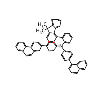 CC1(C)c2ccccc2-c2c(-c3ccccc3N(c3ccc(-c4ccc5c(ccc6ccccc65)c4)cc3)c3ccc(-c4cccc5ccccc45)cc3)cccc21